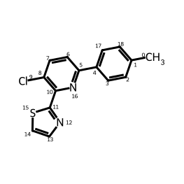 Cc1ccc(-c2ccc(Cl)c(-c3nccs3)n2)cc1